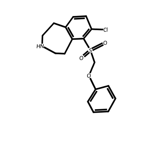 O=S(=O)(COc1ccccc1)c1c(Cl)ccc2c1CCNCC2